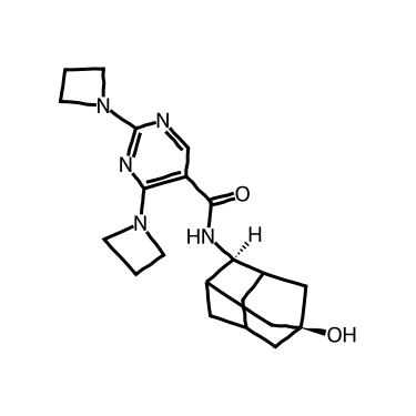 O=C(N[C@H]1C2CC3CC1C[C@@](O)(C3)C2)c1cnc(N2CCC2)nc1N1CCC1